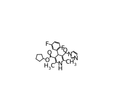 CC1=C(C(=O)OC2CCCC2)C(c2cc(F)ccc2F)C(C(=O)n2ccnc2)=C(C)N1